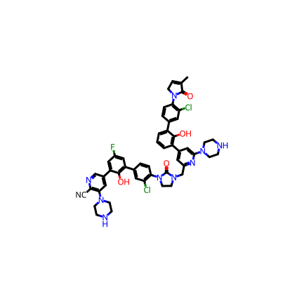 CC1=CCN(c2ccc(-c3cccc(-c4cc(CN5CCN(c6ccc(-c7cc(F)cc(-c8cnc(C#N)c(N9CCNCC9)c8)c7O)cc6Cl)C5=O)nc(N5CCNCC5)c4)c3O)cc2Cl)C1=O